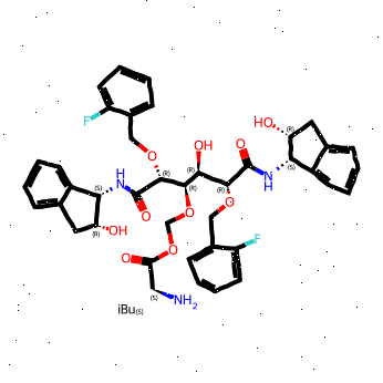 CC[C@H](C)[C@H](N)C(=O)OCO[C@H]([C@@H](O)[C@@H](OCc1ccccc1F)C(=O)N[C@H]1c2ccccc2C[C@H]1O)[C@@H](OCc1ccccc1F)C(=O)N[C@H]1c2ccccc2C[C@H]1O